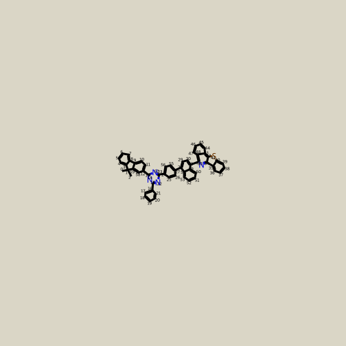 CC1(C)c2ccccc2-c2ccc(-c3nc(-c4ccccc4)nc(-c4ccc(-c5ccc(-c6nc7c8ccccc8sc7c7ccccc67)c6ccccc56)cc4)n3)cc21